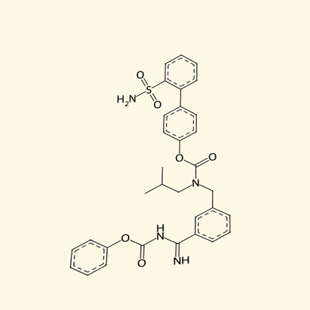 CC(C)CN(Cc1cccc(C(=N)NC(=O)Oc2ccccc2)c1)C(=O)Oc1ccc(-c2ccccc2S(N)(=O)=O)cc1